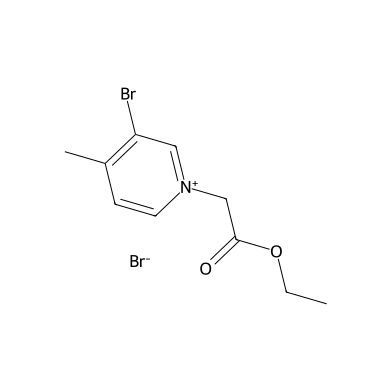 CCOC(=O)C[n+]1ccc(C)c(Br)c1.[Br-]